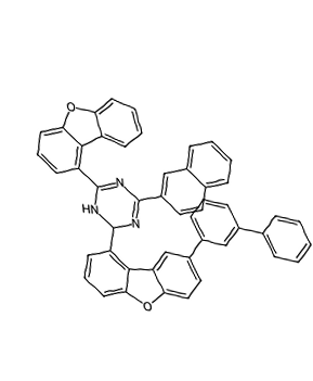 c1ccc(-c2cccc(-c3ccc4oc5cccc(C6N=C(c7ccc8ccccc8c7)N=C(c7cccc8oc9ccccc9c78)N6)c5c4c3)c2)cc1